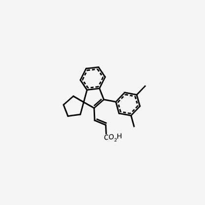 Cc1cc(C)cc(C2=C(/C=C/C(=O)O)C3(CCCC3)c3ccccc32)c1